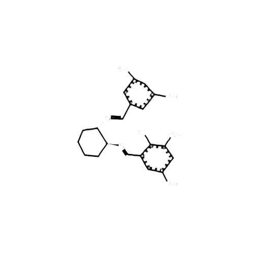 CC(C)(C)c1cc(/C=N/[C@H]2CCCC[C@@H]2/N=C/c2cc(C(C)(C)C)cc(C(C)(C)C)c2O)cc(C(C)(C)C)c1